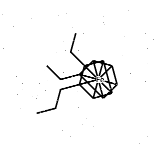 CCC[C]12[CH]3[CH]4[CH]5[C]1(CC)[Fe]45321678[CH]2[CH]1[CH]6[C]7(CC)[CH]28